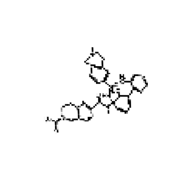 CC(=O)N1CCc2nc(C(=O)NC3(NC(=O)c4ccc5c(n4)CCNC5)C=CC=C(c4ccccc4C)C3C)ccc2C1